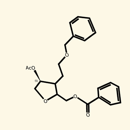 CC(=O)O[C@@H]1COC(COC(=O)c2ccccc2)C1CCOCc1ccccc1